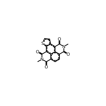 CN1C(=O)c2ccc3c4c(c5sccc5c(c24)C1=O)C(=O)N(C)C3=O